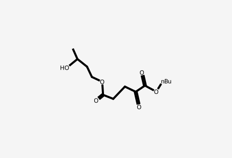 CCCCOC(=O)C(=O)CCC(=O)OCCC(C)O